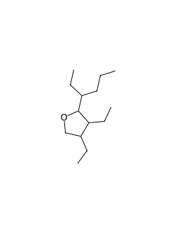 CCCC(CC)C1OCC(CC)C1CC